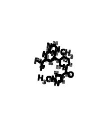 C[C@@H]1CCN(C(=O)c2cnn(C)c2)C[C@H]1c1cc(C(F)F)nc2ncnn12